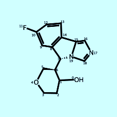 OC1CCOC[C@H]1[C@@H]1c2cc(F)ccc2-c2cncn21